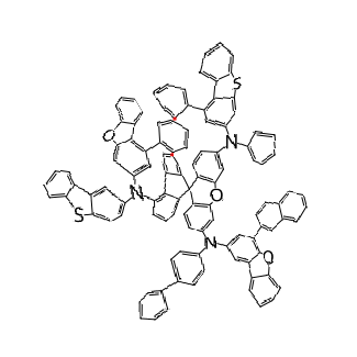 c1ccc(-c2ccc(N(c3ccc4c(c3)Oc3cc(N(c5ccccc5)c5cc(-c6ccccc6)c6c(c5)sc5ccccc56)ccc3C43c4ccccc4-c4c(N(c5cc(-c6ccccc6)c6c(c5)oc5ccccc56)c5ccc6sc7ccccc7c6c5)cccc43)c3cc(-c4ccc5ccccc5c4)c4oc5ccccc5c4c3)cc2)cc1